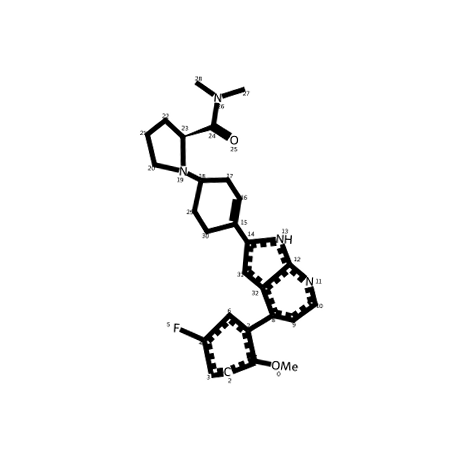 COc1ccc(F)cc1-c1ccnc2[nH]c(C3=CCC(N4CCC[C@H]4C(=O)N(C)C)CC3)cc12